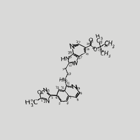 Cc1nc(-c2ccc3ccnc(NCCc4nc5cc(C(=O)OC(C)(C)C)cnc5[nH]4)c3c2)no1